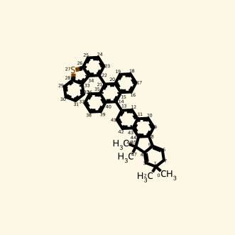 CC1(C)C=C2C(=CC1)c1ccc3cc(-c4c5ccccc5c(-c5cccc6sc7ccccc7c56)c5ccccc45)ccc3c1C2(C)C